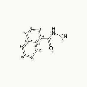 N#CNC(=O)c1cccc2ccccc12